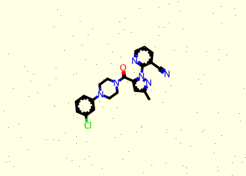 Cc1cc(C(=O)N2CCN(c3cccc(Cl)c3)CC2)n(-c2ncccc2C#N)n1